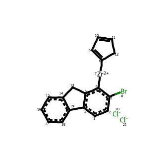 Brc1ccc2c([c]1[Zr+2][C]1=CC=CC1)Cc1ccccc1-2.[Cl-].[Cl-]